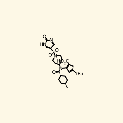 CC(C)(C)c1cc(N(C(=O)[C@H]2CC[C@H](C)CC2)C2CCN(S(=O)(=O)c3cnc(=O)[nH]c3)CC2)c(C(=O)O)s1